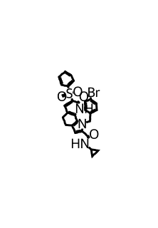 O=C(NC1CC1)c1cc2c(n1Cc1ccc(Br)cc1)-c1[nH]c(=O)c(S(=O)(=O)c3ccccc3)cc1CC2